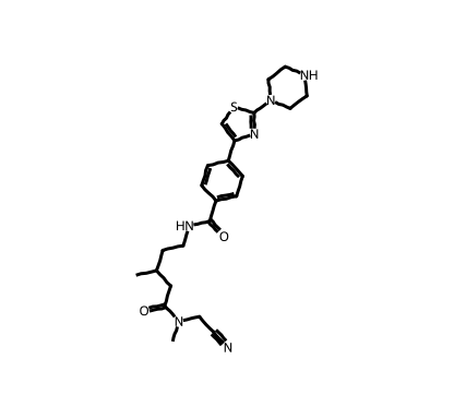 CC(CCNC(=O)c1ccc(-c2csc(N3CCNCC3)n2)cc1)CC(=O)N(C)CC#N